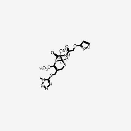 CO[C@@]1(NC(=O)COc2ccon2)C(=O)N2C(C(=O)O)=C(CSc3nnnn3C)CS[C@H]21